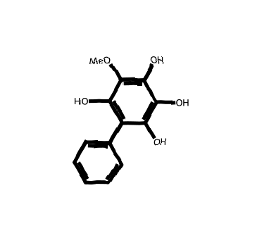 COc1c(O)c(O)c(O)c(-c2ccccc2)c1O